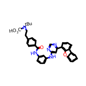 CC(C)(C)N(CCc1ccc(C(=O)Nc2cccc(Nc3cc(-c4cccc5c4oc4ccccc45)ncn3)c2)cc1)C(=O)O